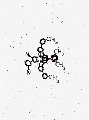 Cc1cccc(-c2ccc3c(c2)c2cc(-c4cccc(C)c4)ccc2n3-c2cc(C#N)c(-c3cccc(C#N)c3)cc2-n2c3ccc(-c4cccc(C)c4)cc3c3cc(-c4cccc(C)c4)ccc32)c1